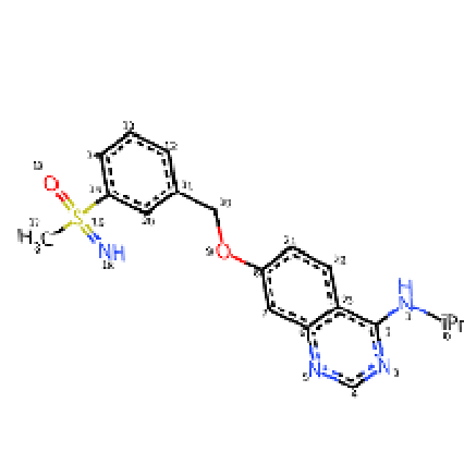 CC(C)Nc1ncnc2cc(OCc3cccc(S(C)(=N)=O)c3)ccc12